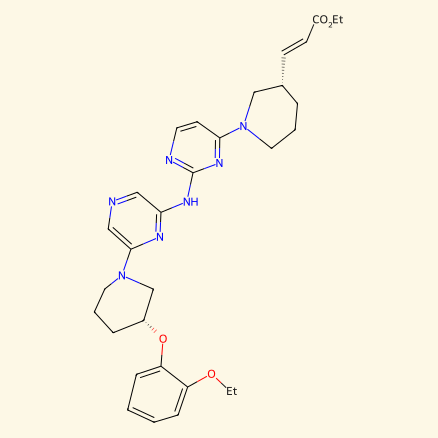 CCOC(=O)C=C[C@@H]1CCCN(c2ccnc(Nc3cncc(N4CCC[C@@H](Oc5ccccc5OCC)C4)n3)n2)C1